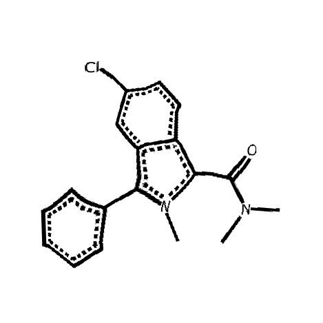 CN(C)C(=O)c1c2ccc(Cl)cc2c(-c2ccccc2)n1C